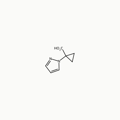 O=C(O)C1(n2cccn2)CC1